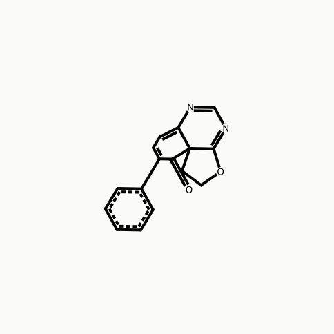 O=C1C(c2ccccc2)=CC=C2N=CN=C3OCCC123